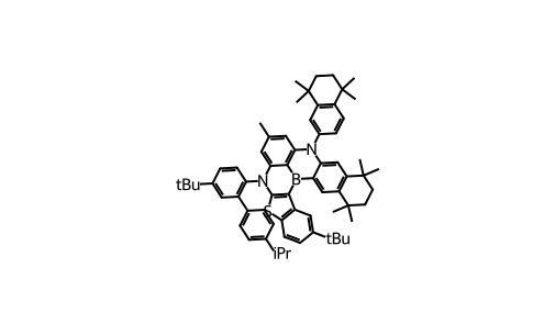 Cc1cc2c3c(c1)N(c1ccc(C(C)(C)C)cc1-c1ccc(C(C)C)cc1)c1sc4ccc(C(C)(C)C)cc4c1B3c1cc3c(cc1N2c1ccc2c(c1)C(C)(C)CCC2(C)C)C(C)(C)CCC3(C)C